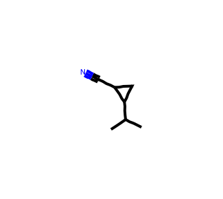 CC(C)C1CC1C#N